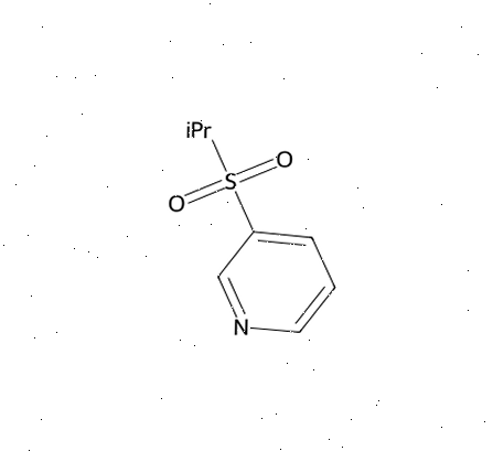 CC(C)S(=O)(=O)c1cccnc1